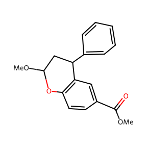 COC(=O)c1ccc2c(c1)C(c1ccccc1)CC(OC)O2